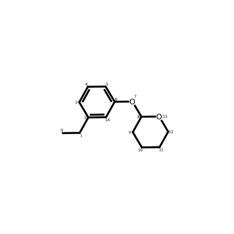 CCc1cccc(OC2CCCCO2)c1